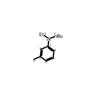 CCCCN(CC)c1cccc(C)c1